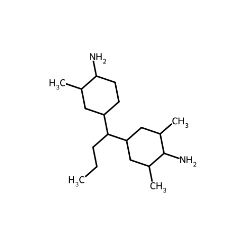 CCCC(C1CCC(N)C(C)C1)C1CC(C)C(N)C(C)C1